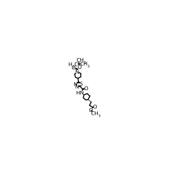 COC(=O)CC[C@H]1CC[C@H](NC(=O)c2nnc(C3CCN(C(=O)OC(C)(C)C)CC3)s2)CC1